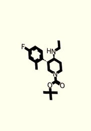 CCN[C@H]1CCN(C(=O)OC(C)(C)C)C[C@@H]1c1ccc(F)cc1C